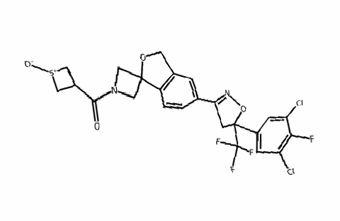 O=C(C1C[S+]([O-])C1)N1CC2(C1)OCc1cc(C3=NOC(c4cc(Cl)c(F)c(Cl)c4)(C(F)(F)F)C3)ccc12